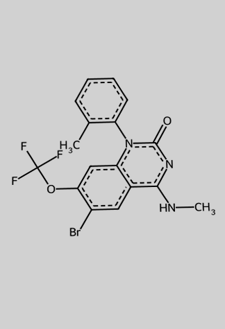 CNc1nc(=O)n(-c2ccccc2C)c2cc(OC(F)(F)F)c(Br)cc12